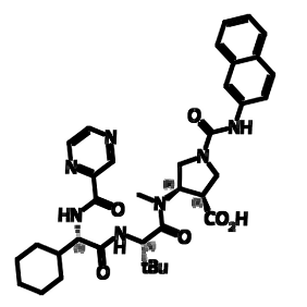 CN(C(=O)[C@@H](NC(=O)[C@@H](NC(=O)c1cnccn1)C1CCCCC1)C(C)(C)C)[C@H]1CN(C(=O)Nc2ccc3ccccc3c2)C[C@H]1C(=O)O